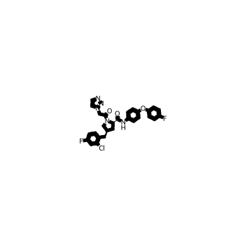 O=C(Nc1ccc(Oc2ccc(F)cc2)cc1)[C@@H]1C[C@@H](Cc2ccc(F)cc2Cl)CN1C(=O)Cn1ccnn1